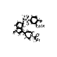 COc1cc(S(=O)(=O)Nc2ccc3c(c2)c(C2CCN(C(=O)C(C)C)CC2)cn3C)ccc1F